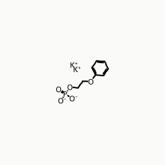 O=P([O-])([O-])OCCOc1ccccc1.[K+].[K+]